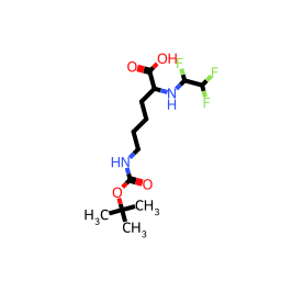 CC(C)(C)OC(=O)NCCCCC(NC(F)C(F)F)C(=O)O